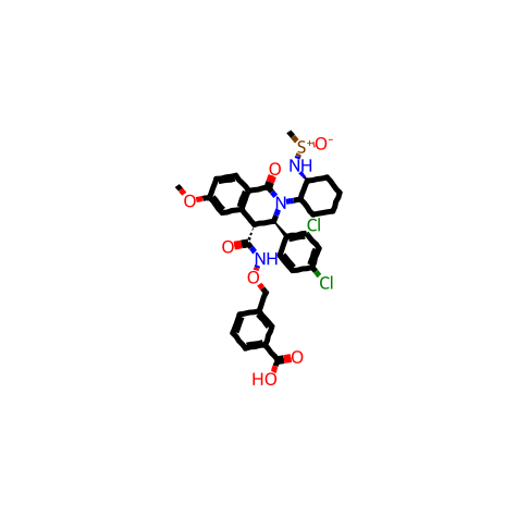 COc1ccc2c(c1)[C@@H](C(=O)NOCc1cccc(C(=O)O)c1)[C@H](c1ccc(Cl)cc1Cl)N(C1CCCC[C@@H]1N[S+](C)[O-])C2=O